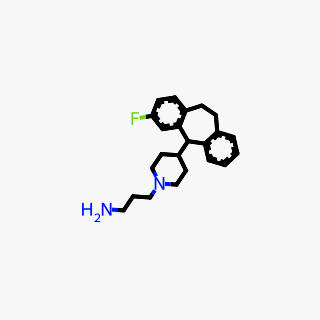 NCCCN1CCC(C2c3ccccc3CCc3ccc(F)cc32)CC1